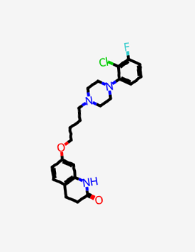 O=C1CCc2ccc(OCCCCN3CCN(c4cccc(F)c4Cl)CC3)cc2N1